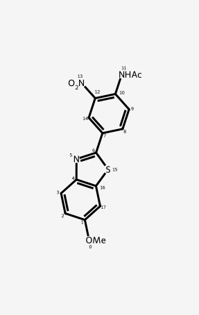 COc1ccc2nc(-c3ccc(NC(C)=O)c([N+](=O)[O-])c3)sc2c1